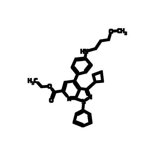 CCOC(=O)c1cc(-c2ccc(NCCCOC)cc2)c2c(C3CCC3)nn(-c3ccccc3)c2n1